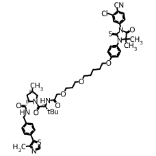 Cc1ncsc1-c1ccc(CNC(=O)[C@@H]2C[C@@H](C)CN2C(=O)[C@@H](NC(=O)COCCCOCCCCCOc2ccc(N3C(=S)N(c4ccc(C#N)c(Cl)c4)C(=O)C3(C)C)cc2)C(C)(C)C)cc1